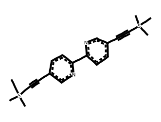 CS(C)(C)C#Cc1ccc(-c2ccc(C#CS(C)(C)C)cn2)nc1